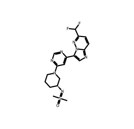 CS(C)(=O)=N[C@H]1CCCN(c2cc(-c3cnc4ccc(C(F)F)nn34)ncn2)C1